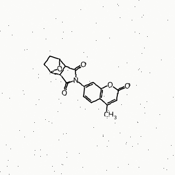 Cc1cc(=O)oc2cc(N3C(=O)C4C5CCC(O5)C4C3=O)ccc12